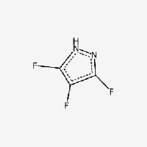 Fc1n[nH]c(F)c1F